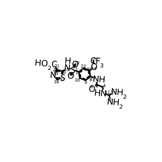 NC(N)NCC(=O)Nc1ccc(S(=O)(=O)Nc2scnc2C(=O)O)cc1OC(F)(F)F